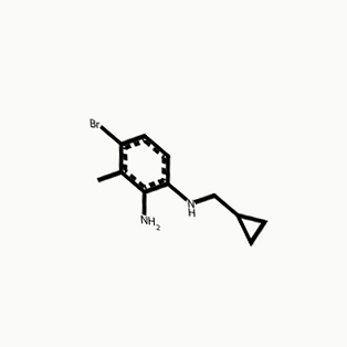 Cc1c(Br)ccc(NCC2CC2)c1N